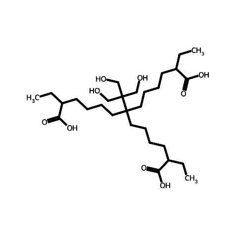 CCC(CCCCC(CCCCC(CC)C(=O)O)(CCCCC(CC)C(=O)O)C(CO)(CO)CO)C(=O)O